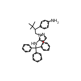 CC(C)(C)[C](Cn1nccc1NC(c1ccccc1)(c1ccccc1)c1ccccc1)c1ccc(N)cc1